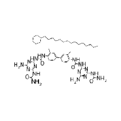 CCCCCCCCCCCCCCCC1CCCCC1.Cc1cc(-c2ccc(NC(=O)Nc3nc(N)nc(NC(N)=O)n3)c(C)c2)ccc1NC(=O)Nc1nc(N)nc(NC(N)=O)n1